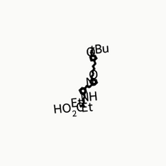 CCC(CC)(CCNc1cccc(C=Cc2cccc(COCCCCc3ccc(OC(C)(C)C)cc3)n2)c1)C(=O)O